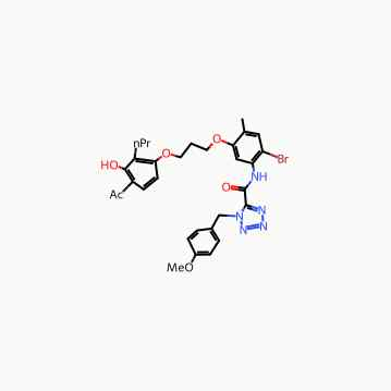 CCCc1c(OCCCOc2cc(NC(=O)c3nnnn3Cc3ccc(OC)cc3)c(Br)cc2C)ccc(C(C)=O)c1O